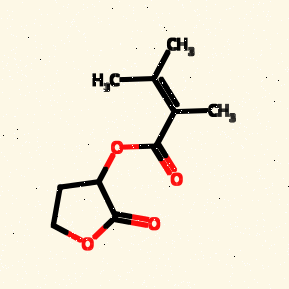 CC(C)=C(C)C(=O)OC1CCOC1=O